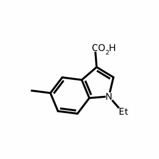 CCn1cc(C(=O)O)c2cc(C)ccc21